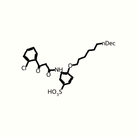 CCCCCCCCCCCCCCCCOc1ccc(S(=O)(=O)O)cc1NC(=O)CC(=O)c1ccccc1Cl